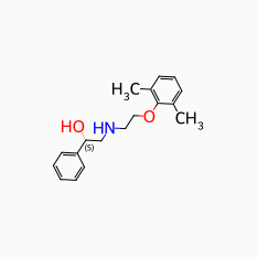 Cc1cccc(C)c1OCCNC[C@@H](O)c1ccccc1